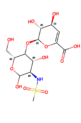 CS(=O)(=O)N[C@H]1C(O)O[C@H](CO)C(O[C@@H]2OC(C(=O)O)=C[C@H](O)[C@H]2O)[C@@H]1O